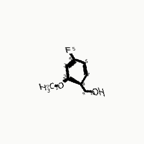 COc1cc(F)ccc1CO